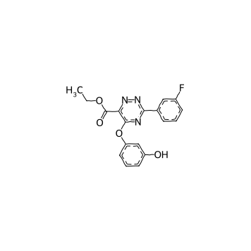 CCOC(=O)c1nnc(-c2cccc(F)c2)nc1Oc1cccc(O)c1